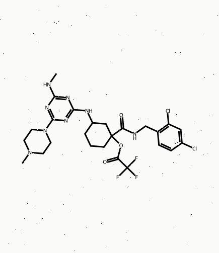 CNc1nc(NC2CCCC(OC(=O)C(F)(F)F)(C(=O)NCc3ccc(Cl)cc3Cl)C2)nc(N2CCN(C)CC2)n1